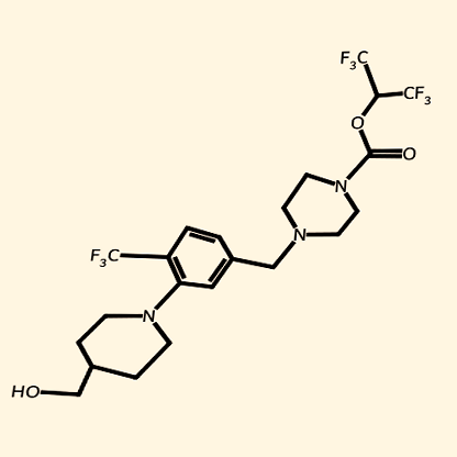 O=C(OC(C(F)(F)F)C(F)(F)F)N1CCN(Cc2ccc(C(F)(F)F)c(N3CCC(CO)CC3)c2)CC1